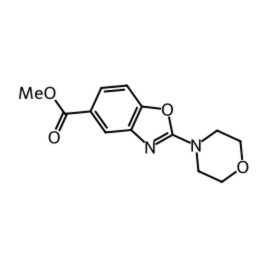 COC(=O)c1ccc2oc(N3CCOCC3)nc2c1